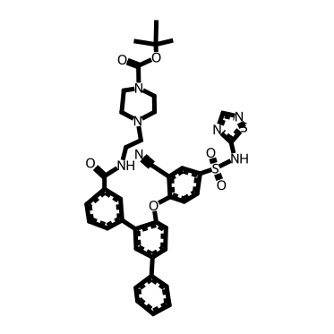 CC(C)(C)OC(=O)N1CCN(CCNC(=O)c2cccc(-c3cc(-c4ccccc4)ccc3Oc3ccc(S(=O)(=O)Nc4ncns4)cc3C#N)c2)CC1